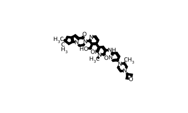 C[C@H]1CN(C2COC2)CCN1c1ccc(Nc2cc(-c3ccnc(N4CCn5c(cc6c5CC(C)(C)C6)C4=O)c3C(O)O)cn(C)c2=O)nc1